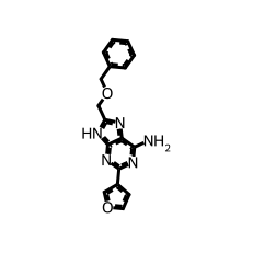 Nc1nc(-c2ccoc2)nc2[nH]c(COCc3ccccc3)nc12